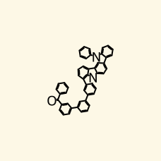 O=C(c1ccccc1)c1cccc(-c2cccc(-c3ccc4c(c3)c3cccc5c6c7c(ccc6n4c35)c3ccccc3n7-c3ccccc3)c2)c1